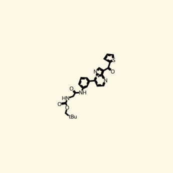 CC(C)(C)COC(=O)NCC(=O)Nc1cccc(-c2ccnc3c(C(=O)c4cccs4)cnn23)c1